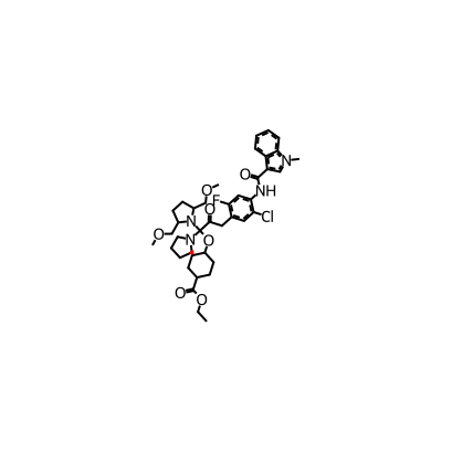 CCOC(=O)C1CCC(OC(C(=O)Cc2cc(Cl)c(NC(=O)c3cn(C)c4ccccc34)cc2F)(N2CCCC2)N2C(COC)CCC2COC)CC1